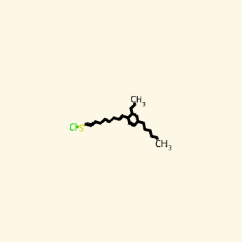 CCCCCCC1C=CC(CCCCCCCCCSCl)C(CCC)C1